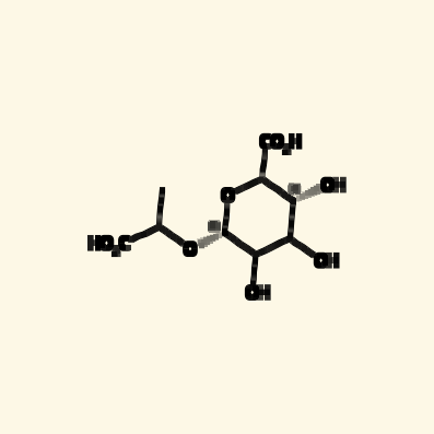 CC(O[C@@H]1OC(C(=O)O)[C@H](O)C(O)C1O)C(=O)O